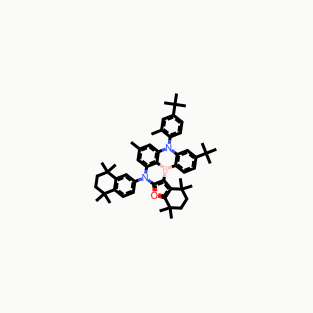 Cc1cc2c3c(c1)N(c1ccc4c(c1)C(C)(C)CCC4(C)C)c1oc4c(c1B3c1ccc(C(C)(C)C)cc1N2c1ccc(C(C)(C)C)cc1C)C(C)(C)CCC4(C)C